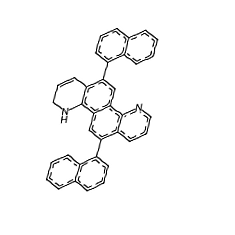 C1=Cc2c(-c3cccc4ccccc34)cc3c(cc(-c4cccc5ccccc45)c4cccnc43)c2NC1